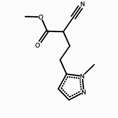 COC(=O)C(C#N)CCc1ccnn1C